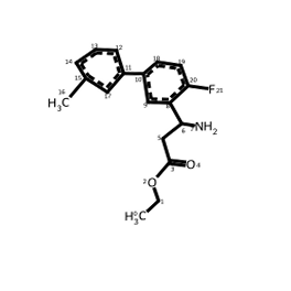 CCOC(=O)CC(N)c1cc(-c2cccc(C)c2)ccc1F